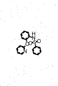 O=S(=O)(Nc1ccccc1Oc1ccccn1)c1ccccc1